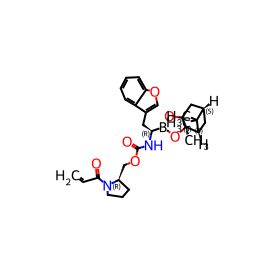 C=CC(=O)N1CCC[C@@H]1COC(=O)N[C@@H](Cc1coc2ccccc12)B1OC2C[C@@H]3C[C@@H](C3(C)C)[C@]2(C)O1